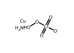 [Cu].[NH4+].[O]=[Cr](=[O])([O-])[O]O